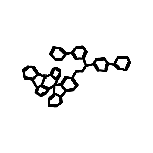 c1ccc(-c2ccc(C(CCc3ccc4c(c3)C3(c5ccccc5-4)c4ccccc4-n4c5ccccc5c5cccc3c54)c3cccc(-c4ccccc4)c3)cc2)cc1